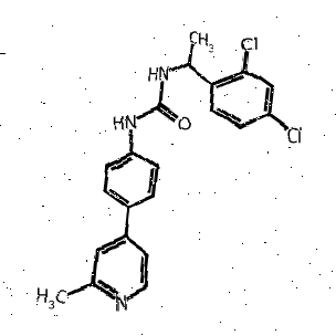 Cc1cc(-c2ccc(NC(=O)NC(C)c3ccc(Cl)cc3Cl)cc2)ccn1